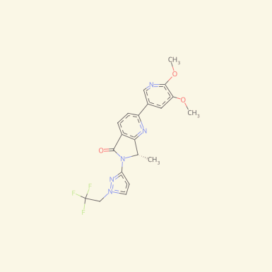 COc1cc(-c2ccc3c(n2)[C@H](C)N(c2ccn(CC(F)(F)F)n2)C3=O)cnc1OC